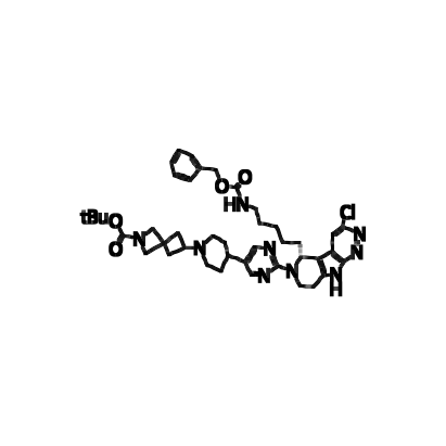 CC(C)(C)OC(=O)N1CC2(CC(N3CCC(c4cnc(N5CCc6[nH]c7nnc(Cl)cc7c6[C@H]5CCCCCNC(=O)OCc5ccccc5)nc4)CC3)C2)C1